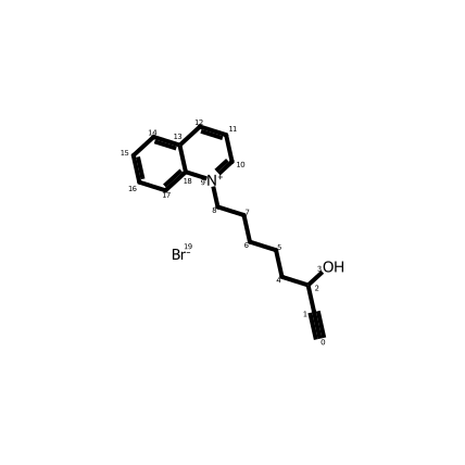 C#CC(O)CCCCC[n+]1cccc2ccccc21.[Br-]